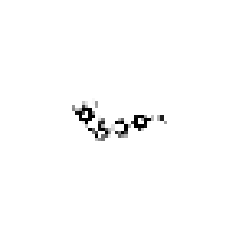 Cc1ccc([C@@H]2CCN([C@H]3CCN(Cc4ccc(C)c(F)c4)C3=O)C[C@H]2F)cc1